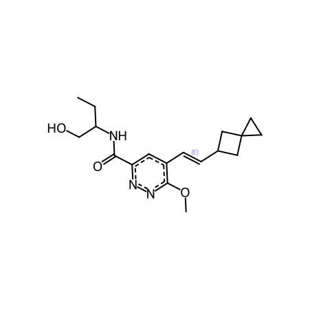 CCC(CO)NC(=O)c1cc(/C=C/C2CC3(CC3)C2)c(OC)nn1